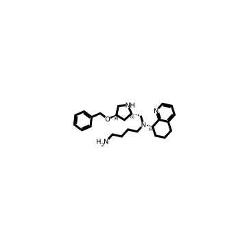 NCCCCN(C[C@@H]1C[C@@H](OCc2ccccc2)CN1)[C@H]1CCCc2cccnc21